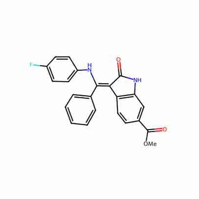 COC(=O)c1ccc2c(c1)NC(=O)/C2=C(\Nc1ccc(F)cc1)c1ccccc1